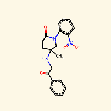 CC1(NCC(=O)c2ccccc2)CCC(=O)N(c2ccccc2[N+](=O)[O-])C1